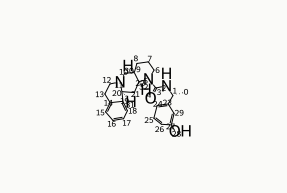 C[C@@H](NC(=O)N1CCC[C@@H]2CN3CCc4ccccc4[C@@H]3C[C@@H]21)c1cccc(O)c1